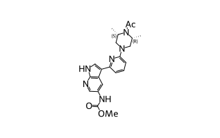 COC(=O)Nc1cnc2[nH]cc(-c3cccc(N4C[C@@H](C)N(C(C)=O)[C@@H](C)C4)n3)c2c1